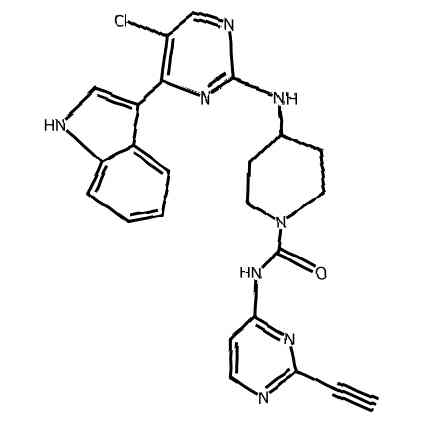 C#Cc1nccc(NC(=O)N2CCC(Nc3ncc(Cl)c(-c4c[nH]c5ccccc45)n3)CC2)n1